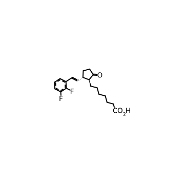 O=C(O)CCCCCC[C@@H]1C(=O)CC[C@H]1C=Cc1cccc(F)c1F